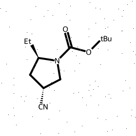 CC[C@@H]1C[C@@H](C#N)CN1C(=O)OC(C)(C)C